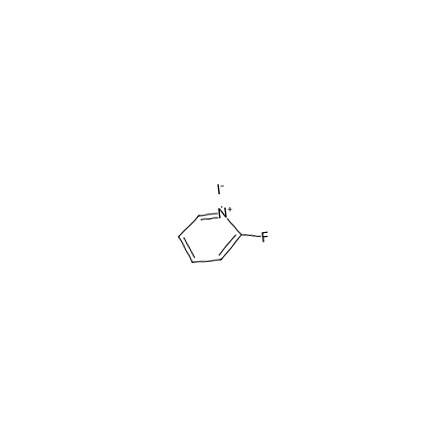 FC1=CC=CC=[N+]1.[I-]